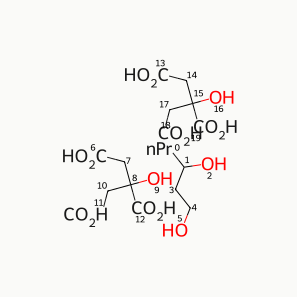 CCCC(O)CCO.O=C(O)CC(O)(CC(=O)O)C(=O)O.O=C(O)CC(O)(CC(=O)O)C(=O)O